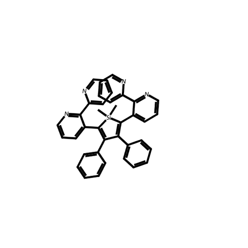 C[Si]1(C)C(c2cccnc2-c2ccccn2)=C(c2ccccc2)C(c2ccccc2)=C1c1cccnc1-c1ccccn1